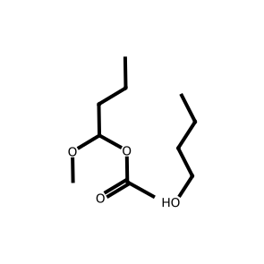 CCCC(OC)OC(C)=O.CCCCO